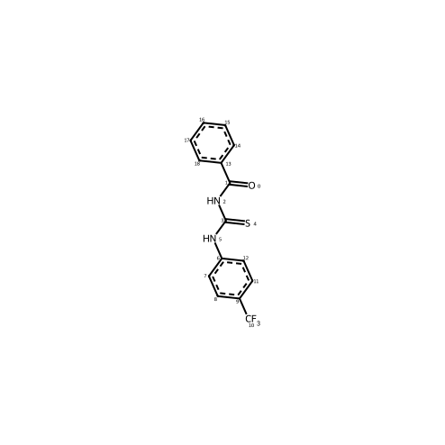 O=C(NC(=S)Nc1ccc(C(F)(F)F)cc1)c1ccccc1